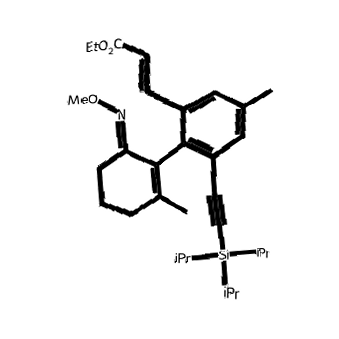 CCOC(=O)/C=C/c1cc(C)cc(C#C[Si](C(C)C)(C(C)C)C(C)C)c1C1=C(C)CCCC1=NOC